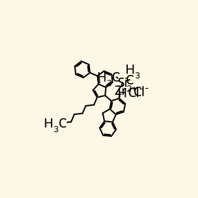 CCCCCCC1=Cc2c(-c3ccccc3)cccc2C1c1[c]([Zr+2][SiH](C)C)ccc2c1Cc1ccccc1-2.[Cl-].[Cl-]